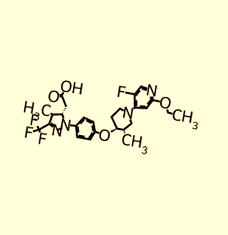 CCOc1cc(N2CC[C@H](Oc3ccc(N4N=C(C(F)(F)F)[C@@H](C)[C@@H]4CC(=O)O)cc3)[C@@H](C)C2)c(F)cn1